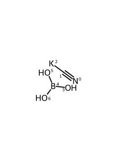 N#[C][K].OB(O)O